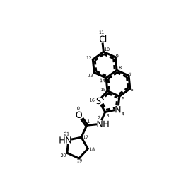 O=C(Nc1nc2ccc3cc(Cl)ccc3c2s1)C1CCCN1